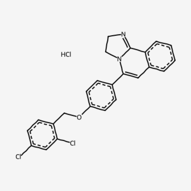 Cl.Clc1ccc(COc2ccc(C3=Cc4ccccc4C4=NCCN34)cc2)c(Cl)c1